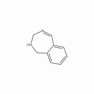 C1=NCNCc2ccccc21